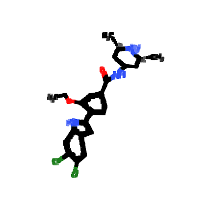 CCOc1cc(C(=O)NC2C[C@@H](C)N[C@@H](C)C2)ccc1-c1cc2cc(Cl)c(Cl)cc2[nH]1